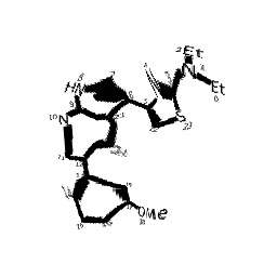 CCN(CC)c1nc(-c2c[nH]c3ncc(-c4cccc(OC)c4)cc23)cs1